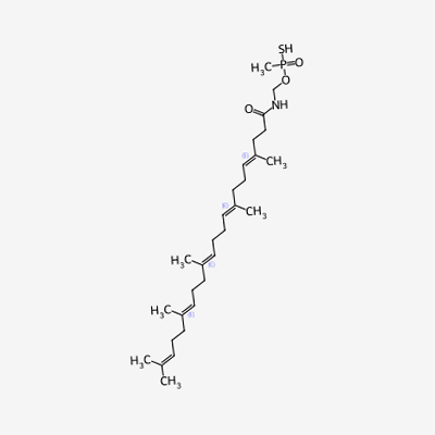 CC(C)=CCC/C(C)=C/CC/C(C)=C/CC/C=C(\C)CC/C=C(\C)CCC(=O)NCOP(C)(=O)S